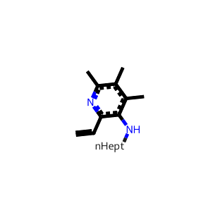 C=Cc1nc(C)c(C)c(C)c1NCCCCCCC